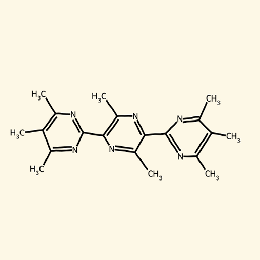 Cc1nc(-c2nc(C)c(C)c(C)n2)c(C)nc1-c1nc(C)c(C)c(C)n1